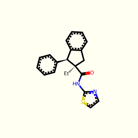 CC[C@@]1(C(=O)Nc2nccs2)Cc2ccccc2[C@@H]1c1ccccc1